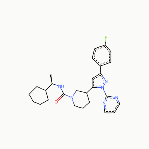 C[C@@H](NC(=O)N1CCCC(c2cc(-c3ccc(F)cc3)nn2-c2ncccn2)C1)C1CCCCC1